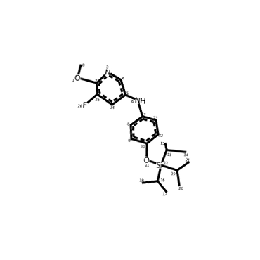 COc1ncc(Nc2ccc(O[Si](C(C)C)(C(C)C)C(C)C)cc2)cc1F